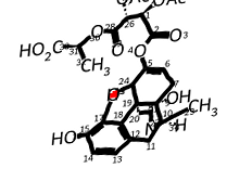 CC(=O)O[C@@H](C(=O)OC1=CC[C@@]2(O)[C@H]3Cc4ccc(O)c5c4[C@@]2(CCN3C)[C@H]1O5)[C@@H](OC(C)=O)C(=O)O[C@@H](C)C(=O)O